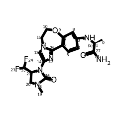 C[C@H](Nc1ccc2c(c1)OCCn1cc(N3C(=O)N(C)CC3C(F)F)nc1-2)C(N)=O